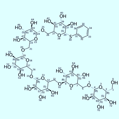 OC[C@H]1O[C@@H](OCC2O[C@@H](OCC3O[C@@H](OCC4O[C@@H](OCC5O[C@@H](OCC6O[C@@H](Sc7ccccc7)[C@H](O)[C@@H](O)[C@@H]6O)[C@H](O)[C@@H](O)[C@@H]5O)[C@H](O)[C@@H](O)[C@@H]4O)[C@H](O)[C@@H](O)[C@@H]3O)[C@H](O)[C@@H](O)[C@@H]2O)[C@H](O)[C@@H](O)[C@@H]1O